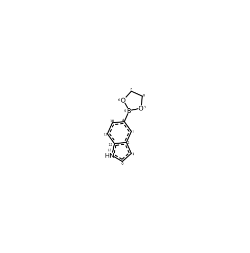 c1cc2cc(B3OCCO3)ccc2[nH]1